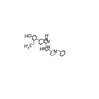 CCc1cc(O)ccc1-c1ccc2c(-c3nc(C4=CCCN(Cc5ccccc5)C4)c[nH]3)n[nH]c2c1